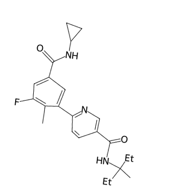 CCC(C)(CC)NC(=O)c1ccc(-c2cc(C(=O)NC3CC3)cc(F)c2C)nc1